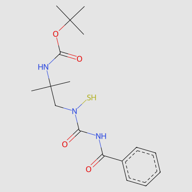 CC(C)(CN(S)C(=O)NC(=O)c1ccccc1)NC(=O)OC(C)(C)C